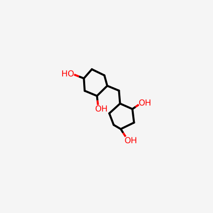 OC1CCC(CC2CCC(O)CC2O)C(O)C1